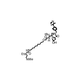 CCN(CCNC)CC(=O)NCCCCCCCCCOCC(=O)N[C@H](C(=O)N1C[C@H](O)C[C@H]1C(=O)NCc1ccc(-c2scnc2C)cc1)C(C)(C)C